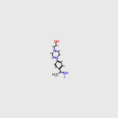 CC(NI)c1ccc(N2CCN(CCO)CC2)cc1